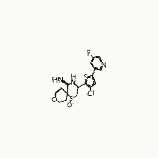 N=C1NC(c2sc(-c3cncc(F)c3)cc2Cl)C[S+]([O-])C12CCOCC2